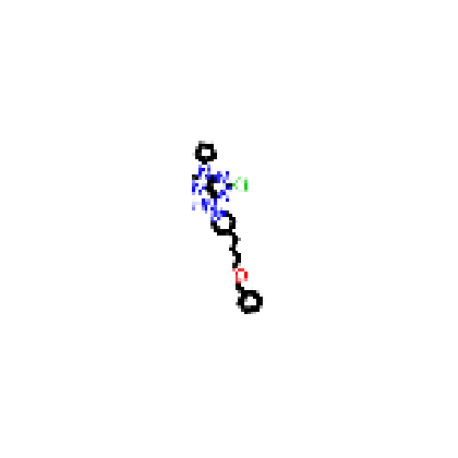 Clc1nc(NN2CCC(CCCCOCc3ccccc3)CC2)c2ncn(C3CCCC3)c2n1